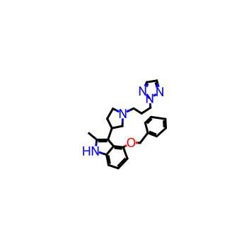 Cc1[nH]c2cccc(OCc3ccccc3)c2c1C1CCN(CCCn2nccn2)C1